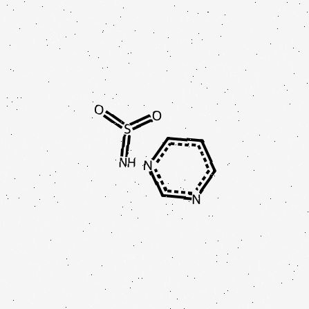 N=S(=O)=O.c1cncnc1